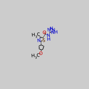 COc1ccc(-c2nc(C)c(C(=O)Nc3nnn[nH]3)s2)cc1